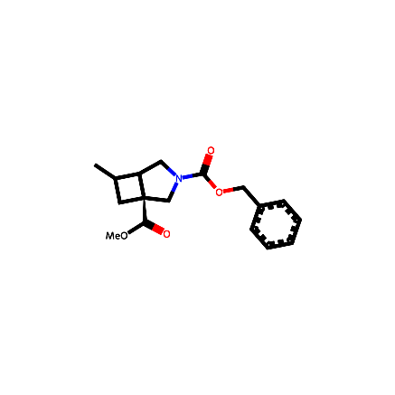 COC(=O)[C@@]12CC(C)C1CN(C(=O)OCc1ccccc1)C2